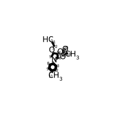 C#CCOC1CN(c2ccc(C)cc2)CC1OS(C)(=O)=O